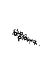 COc1cc(C(C)(C)c2cnc(SCc3c(F)cc(S(=O)(=O)NCCC[n+]4ccn(C)c4)cc3Cl)n2-c2ccc(F)cc2)ccc1F